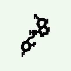 Fc1ccc(CCNc2ncnc3ncc(F)cc23)c(F)c1